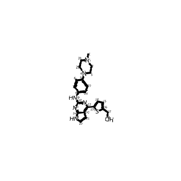 CN1CCN(c2ccc(Nc3nc(-c4ccc(CO)s4)c4cc[nH]c4n3)cc2)CC1